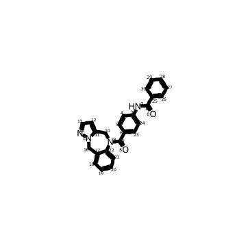 O=C(Nc1ccc(C(=O)N2Cc3ccnn3Cc3ccccc32)cc1)c1ccccc1